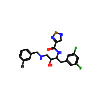 CCc1cccc(CNCC(O)C(Cc2cc(F)cc(F)c2)NC(=O)c2cnsn2)c1